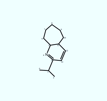 CC(C)C1=NC2CCCCCC2C=C1